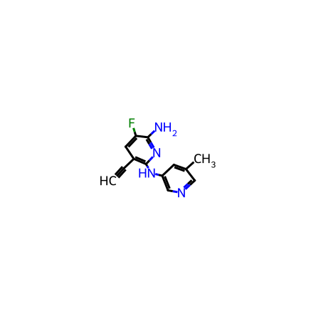 C#Cc1cc(F)c(N)nc1Nc1cncc(C)c1